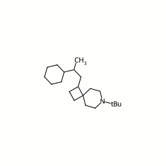 CC(CC1CCC12CCN(C(C)(C)C)CC2)C1CCCCC1